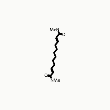 CNC(=O)C=CCCCCCCC=CC(=O)NC